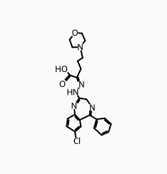 O=C(O)C(CCCN1CCOCC1)=NNC1=Nc2ccc(Cl)cc2C(c2ccccc2)=NC1